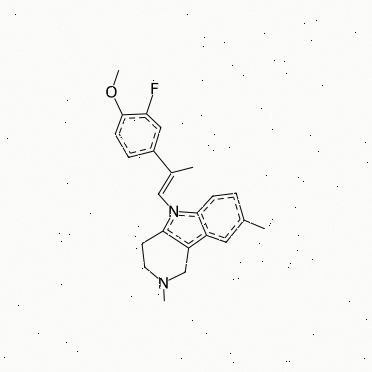 COc1ccc(C(C)=Cn2c3c(c4cc(C)ccc42)CN(C)CC3)cc1F